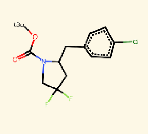 CC(C)(C)OC(=O)N1CC(F)(F)CC1Cc1ccc(Cl)cc1